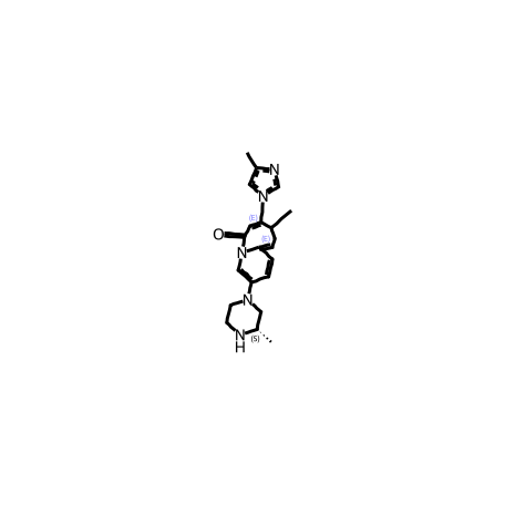 Cc1cn(/C2=C/C(=O)N3C=C(N4CCN[C@@H](C)C4)C=C/C3=C\CC2C)cn1